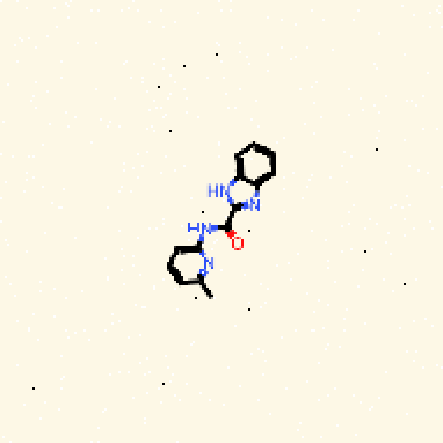 Cc1cccc(NC(=O)c2nc3ccccc3[nH]2)n1